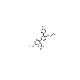 NC(=O)C1CC(F)(F)CN1C(=O)c1ccc(OCC2CC2)c(-c2ccc(Cl)cc2)n1